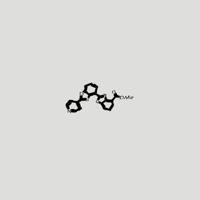 COC(=O)c1cccc2oc(-c3cccc4oc(-c5ccncc5)nc34)nc12